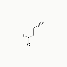 C#CCCC(=O)I